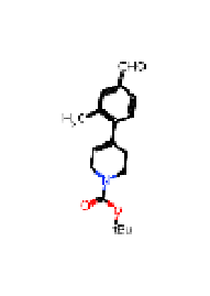 Cc1cc(C=O)ccc1C1=CCN(C(=O)OC(C)(C)C)CC1